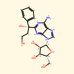 Nc1nc([C@@](O)(CCO)c2ccccc2)nc2c1ncn2[C@@H]1O[C@H](CO)[C@@H](O)[C@H]1O